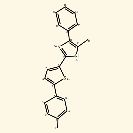 Cc1ccc(-c2ccc(-c3nc(-c4ccccc4)c(C)[nH]3)s2)cc1